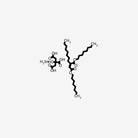 CCCCCCCCOC(=O)/C=C(/CCCCCCCC)C(=O)OCCCCCCCC.O=C(O)CC(O)(CC(=O)O)C(=O)O.[SnH2]